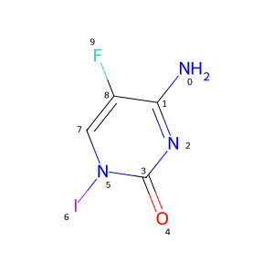 Nc1nc(=O)n(I)cc1F